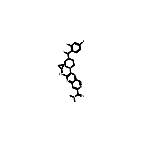 CN(C)C(=O)c1cc2nc(NC3CC3)c(N3CCC(C(F)c4ccc(F)cc4F)CC3)nc2cn1